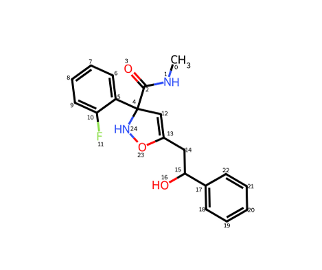 CNC(=O)C1(c2ccccc2F)C=C(CC(O)c2ccccc2)ON1